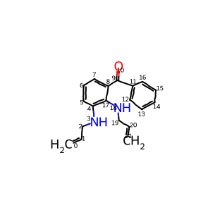 C=CCNc1cccc(C(=O)c2ccccc2)c1NCC=C